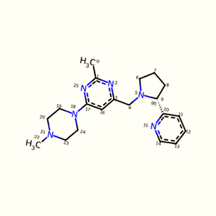 Cc1nc(CN2CCC[C@@H]2c2ccccn2)cc(N2CCN(C)CC2)n1